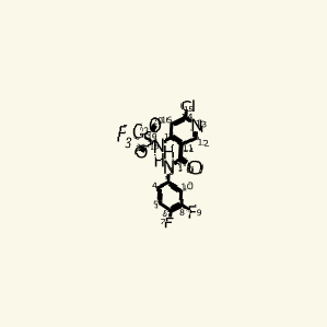 O=C(Nc1ccc(F)c(F)c1)c1cnc(Cl)cc1NS(=O)(=O)C(F)(F)F